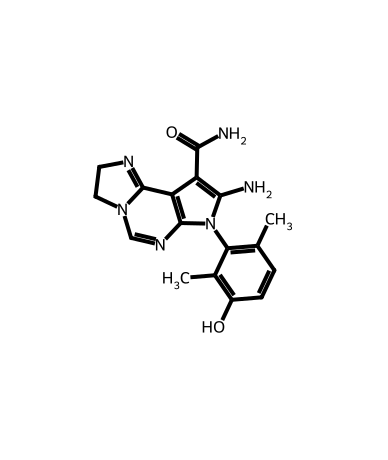 Cc1ccc(O)c(C)c1-n1c(N)c(C(N)=O)c2c1N=CN1CCN=C21